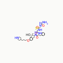 NCC(=O)NCC(=O)N[C@@H](CS)C(=O)N[C@@H](Cc1ccccc1)C(=O)N[C@@H](Cc1ccc(OCCCCC2CCNCC2)cc1)C(=O)O